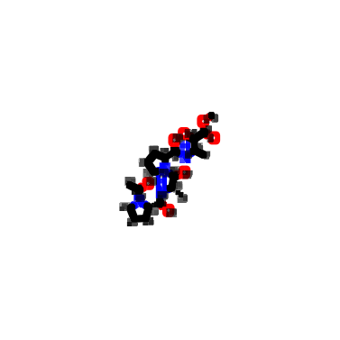 COC(=O)C(=O)C(C)NC(=O)[C@@H]1CCCN1C(=O)[C@H](C)NC(=O)[C@@H]1CCCN1C(C)=O